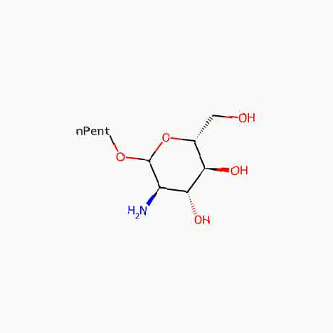 CCCCCOC1O[C@H](CO)[C@@H](O)[C@H](O)[C@H]1N